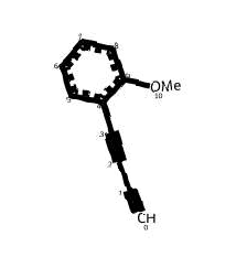 C#CC#Cc1ccccc1OC